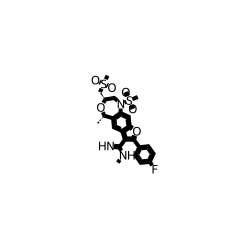 CNC(=N)c1c(-c2ccc(F)cc2)oc2cc3c(cc12)[C@H](C)O[C@H](CS(C)(=O)=O)CN3S(C)(=O)=O